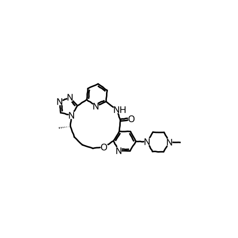 C[C@H]1CCCOc2ncc(N3CCN(C)CC3)cc2C(=O)Nc2cccc(n2)-c2nncn21